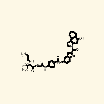 CC(C)[C@H](NCCN)C(=O)NCC(=O)Nc1ccc(C(=O)Nc2ccc3[nH]c(C(=O)N4CCc5c4cc(O)c4ccccc54)cc3c2)cc1